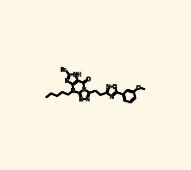 CCCCCn1c2nc(Br)[nH]c2c(=O)n2c(CCc3noc(-c4cccc(OC)c4)n3)nnc12